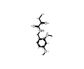 COc1ccc(CNC(=O)C(=O)CI)c(OC)c1